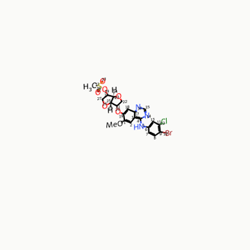 COc1cc2c(Nc3ccc(Br)c(Cl)c3)ncnc2cc1O[C@H]1CO[C@H]2[C@H]1OC[C@H]2OS(C)(=O)=O